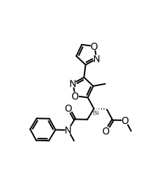 COC(=O)C[C@H](CC(=O)N(C)c1ccccc1)c1onc(-c2ccon2)c1C